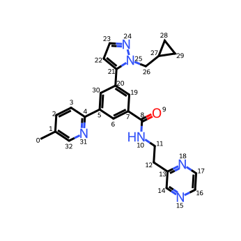 Cc1ccc(-c2cc(C(=O)NCCc3cnccn3)cc(-c3ccnn3CC3CC3)c2)nc1